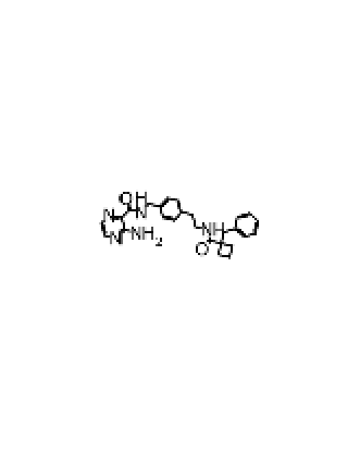 Nc1nccnc1C(=O)NCc1ccc(CCNC(=O)C2(Cc3ccccc3)CCC2)cc1